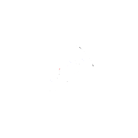 CCOC(=O)c1ccc2nc(N3[C@@H]4CC[C@H]3C[C@@H](OCc3c(-c5ccccc5OC(F)(F)F)noc3C3CC3)C4)sc2c1